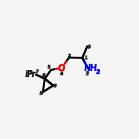 CC(N)COCC1(C(C)C)CC1